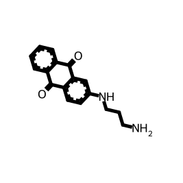 NCCCNc1ccc2c(c1)C(=O)c1ccccc1C2=O